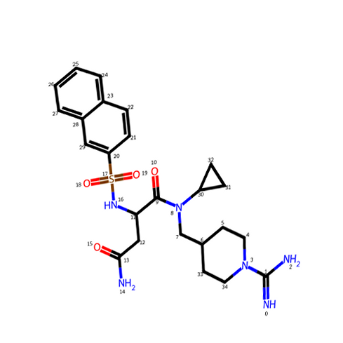 N=C(N)N1CCC(CN(C(=O)C(CC(N)=O)NS(=O)(=O)c2ccc3ccccc3c2)C2CC2)CC1